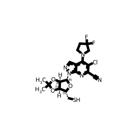 CC1(C)O[C@@H]2[C@H](O1)[C@@H](CS)O[C@H]2n1ncc2c(N3CCC(F)(F)C3)c(Cl)c(C#N)nc21